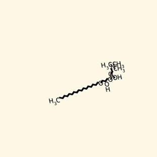 CCCCCCCCCCCCCCCCCCOCC(O)COP(O)OCC[N+](C)(C)C